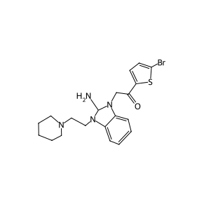 NC1N(CCN2CCCCC2)c2ccccc2N1CC(=O)c1ccc(Br)s1